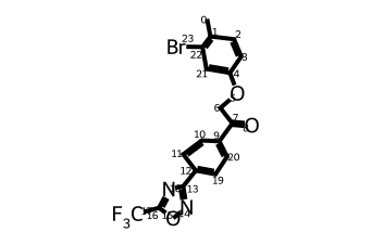 Cc1ccc(OCC(=O)c2ccc(-c3noc(C(F)(F)F)n3)cc2)cc1Br